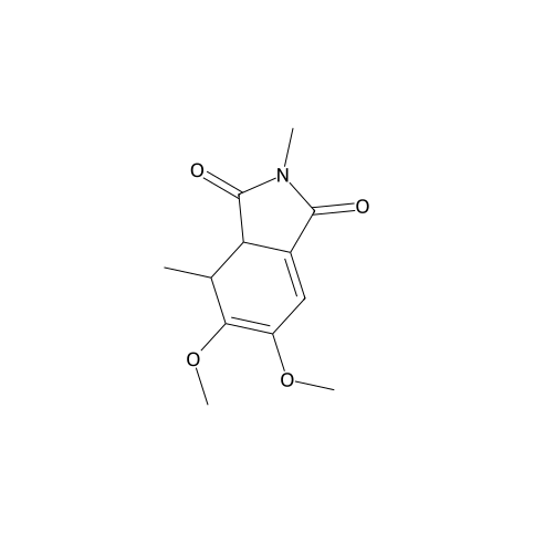 COC1=C(OC)C(C)C2C(=O)N(C)C(=O)C2=C1